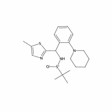 Cc1cnc(C(N[S+]([O-])C(C)(C)C)c2ccccc2N2CCCCC2)s1